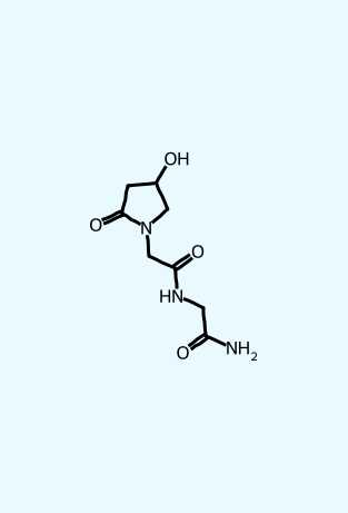 NC(=O)CNC(=O)CN1CC(O)CC1=O